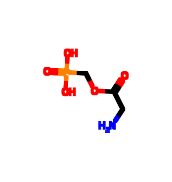 NCC(=O)OCP(=O)(O)O